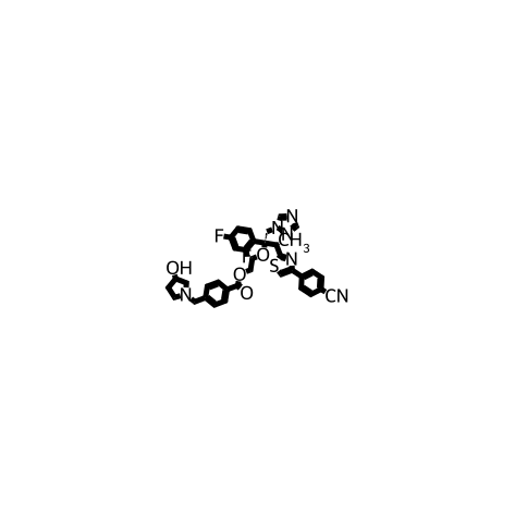 C[C@@H](c1nc(-c2ccc(C#N)cc2)cs1)[C@@](Cn1cncn1)(OCCOC(=O)c1ccc(CN2CCC(O)C2)cc1)c1ccc(F)cc1F